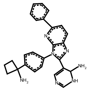 NC1NC=NC=C1c1nc2ccc(-c3ccccc3)nc2n1-c1ccc(C2(N)CCC2)cc1